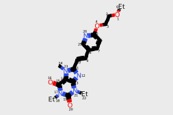 CCOCCOc1ccc(C=Cc2nc3c(c(=O)n(CC)c(=O)n3CC)n2C)cn1